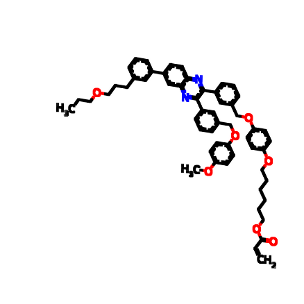 C=CC(=O)OCCCCCCOc1ccc(OCc2cccc(-c3nc4ccc(-c5cccc(CCCOCCC)c5)cc4nc3-c3cccc(COc4ccc(OC)cc4)c3)c2)cc1